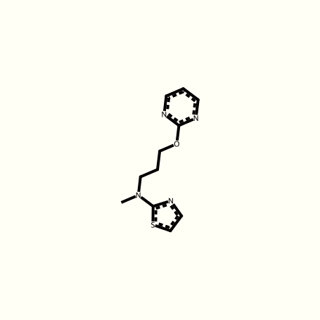 CN(CCCOc1ncccn1)c1nccs1